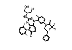 Cc1ccc(N(CCc2ccccc2)C(=O)C(F)(F)F)cc1-c1nc(NC(CO)CO)nc2c1ccc(=O)n2-c1c(F)cccc1F